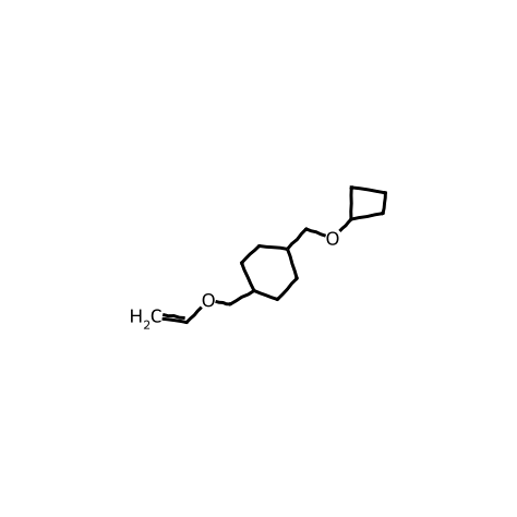 C=COCC1CCC(COC2CCC2)CC1